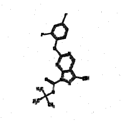 CC(C)(C)OC(=O)n1nc(O)c2cnc(Oc3ccc(F)cc3F)nc21